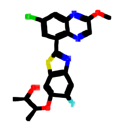 COc1cnc2c(-c3nc4cc(F)c(O[C@@H](C)[C@@H](C)O)cc4s3)cc(Cl)cc2n1